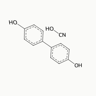 N#CO.Oc1ccc(-c2ccc(O)cc2)cc1